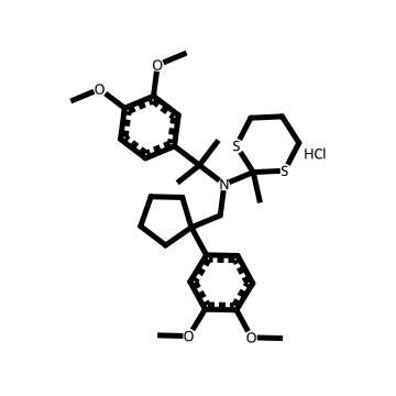 COc1ccc(C2(CN(C3(C)SCCCS3)C(C)(C)c3ccc(OC)c(OC)c3)CCCC2)cc1OC.Cl